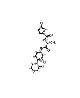 CC(NC(=O)c1ccc(Cl)s1)C(=O)Nc1ccc(N2CCOCC2=O)c(Cl)c1